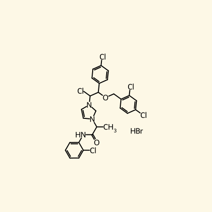 Br.CC(C(=O)Nc1ccccc1Cl)N1C=CN(C(Cl)C(OCc2ccc(Cl)cc2Cl)c2ccc(Cl)cc2)C1